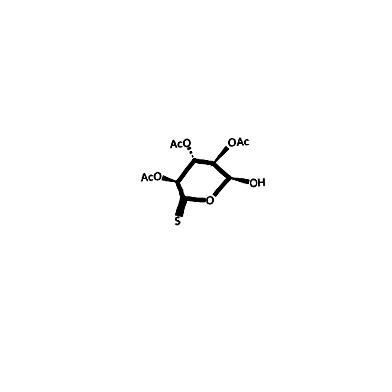 CC(=O)O[C@@H]1[C@@H](OC(C)=O)[C@@H](O)OC(=S)[C@H]1OC(C)=O